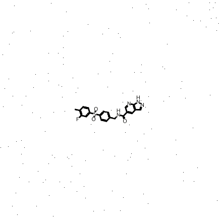 Cc1ccc(S(=O)(=O)c2ccc(CNC(=O)c3cnc4[nH]ncc4c3)cc2)cc1F